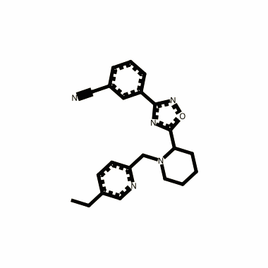 CCc1ccc(CN2CCCCC2c2nc(-c3cccc(C#N)c3)no2)nc1